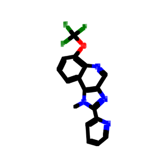 Cn1c(-c2ccccn2)nc2cnc3c(OC(F)(F)F)cccc3c21